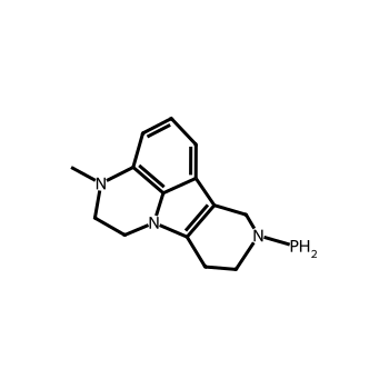 CN1CCn2c3c(c4cccc1c42)CN(P)CC3